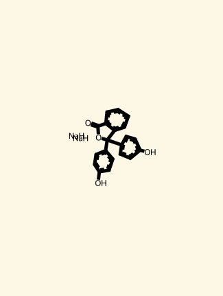 O=C1OC(c2ccc(O)cc2)(c2ccc(O)cc2)c2ccccc21.[NaH].[NaH]